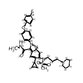 CNC(=O)c1c2cc(C3CC3)c(N(CCCN3CCCCC3)S(C)(=O)=O)cc2nn1-c1ccc(Oc2ccc(F)cc2)cc1